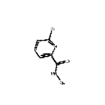 O=C(NO)c1cccc(Br)n1